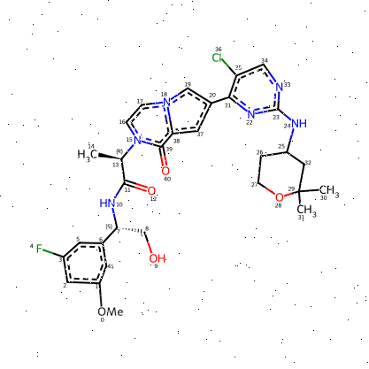 COc1cc(F)cc([C@@H](CO)NC(=O)[C@@H](C)n2ccn3cc(-c4nc(NC5CCOC(C)(C)C5)ncc4Cl)cc3c2=O)c1